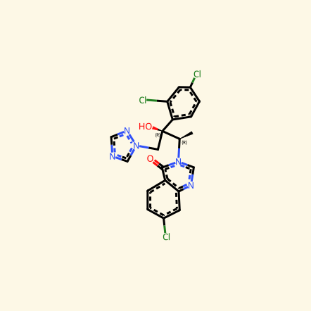 C[C@@H](n1cnc2cc(Cl)ccc2c1=O)[C@](O)(Cn1cncn1)c1ccc(Cl)cc1Cl